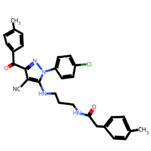 Cc1ccc(CC(=O)NCCCNc2c(C#N)c(C(=O)c3ccc(C)cc3)nn2-c2ccc(Cl)cc2)cc1